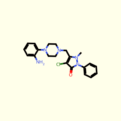 Cn1c(CN2CCN(c3ccccc3N)CC2)c(Cl)c(=O)n1-c1ccccc1